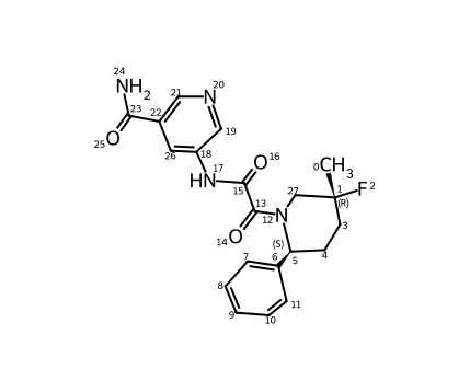 C[C@@]1(F)CC[C@@H](c2ccccc2)N(C(=O)C(=O)Nc2cncc(C(N)=O)c2)C1